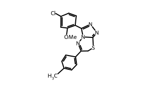 COc1cc(Cl)ccc1-c1nnc2n1N=C(c1ccc(C)cc1)CS2